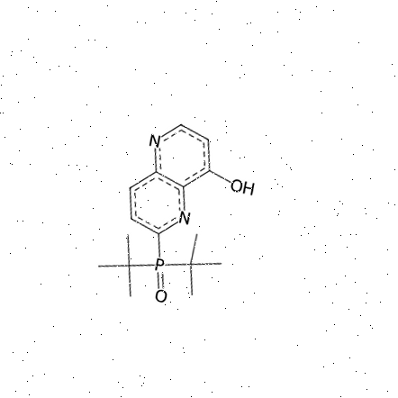 CC(C)(C)P(=O)(c1ccc2nccc(O)c2n1)C(C)(C)C